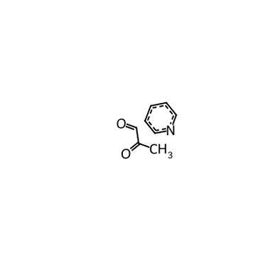 CC(=O)C=O.c1ccncc1